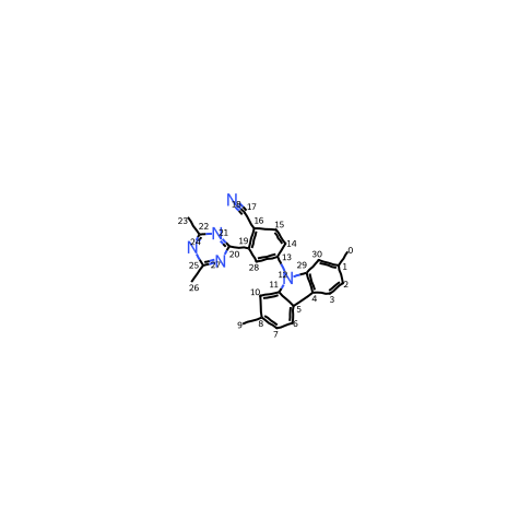 Cc1ccc2c3ccc(C)cc3n(-c3ccc(C#N)c(-c4nc(C)nc(C)n4)c3)c2c1